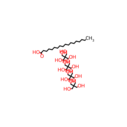 CCCCCCCCCCCCCCCCCC(=O)O.OCC(CO)(CO)CO.OCC(CO)(CO)CO.OCC(CO)(CO)CO.OCC(CO)(CO)CO